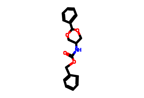 O=C(NC1COC(c2ccccc2)OC1)OCc1ccccc1